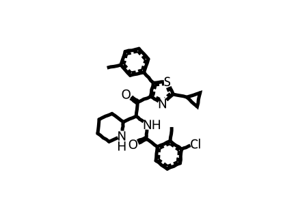 Cc1cccc(-c2sc(C3CC3)nc2C(=O)C(NC(=O)c2cccc(Cl)c2C)C2CCCCN2)c1